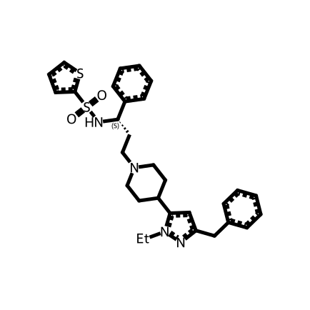 CCn1nc(Cc2ccccc2)cc1C1CCN(CC[C@H](NS(=O)(=O)c2cccs2)c2ccccc2)CC1